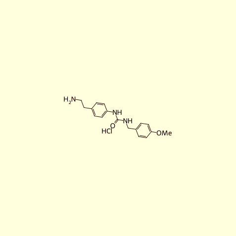 COc1ccc(CNC(=O)Nc2ccc(CCN)cc2)cc1.Cl